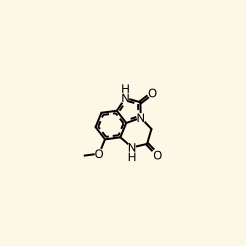 COc1ccc2[nH]c(=O)n3c2c1NC(=O)C3